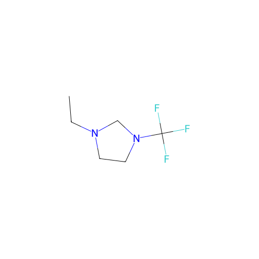 CCN1CCN(C(F)(F)F)C1